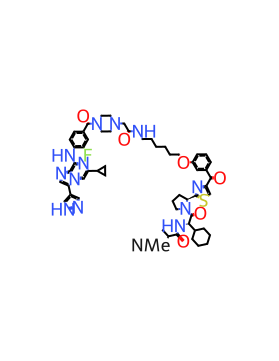 CN[C@@H](C)C(=O)N[C@H](C(=O)N1CCC[C@H]1c1nc(C(=O)c2cccc(OCCCCCCNC(=O)CN3CCN(C(=O)c4ccc(Nc5nc(C6CC6)cn6c(-c7cn[nH]c7)cnc56)c(F)c4)CC3)c2)cs1)C1CCCCC1